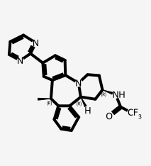 C[C@@H]1c2ccccc2[C@H]2C[C@H](NC(=O)C(F)(F)F)CCN2c2ccc(-c3ncccn3)cc21